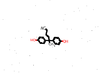 CC(CCCC#N)(c1ccc(O)cc1)c1ccc(O)cc1